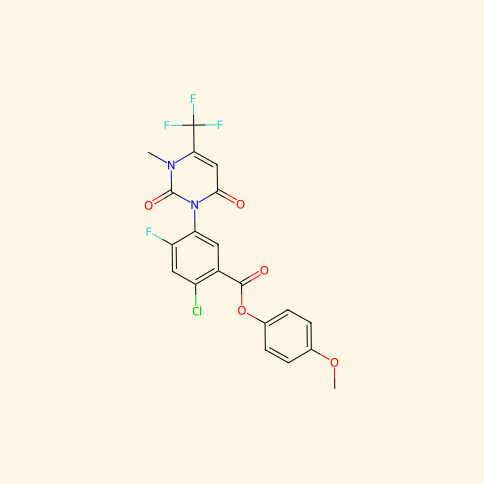 COc1ccc(OC(=O)c2cc(-n3c(=O)cc(C(F)(F)F)n(C)c3=O)c(F)cc2Cl)cc1